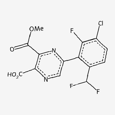 COC(=O)c1nc(-c2c(C(F)F)ccc(Cl)c2F)cnc1C(=O)O